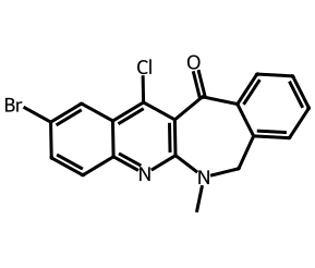 CN1Cc2ccccc2C(=O)c2c1nc1ccc(Br)cc1c2Cl